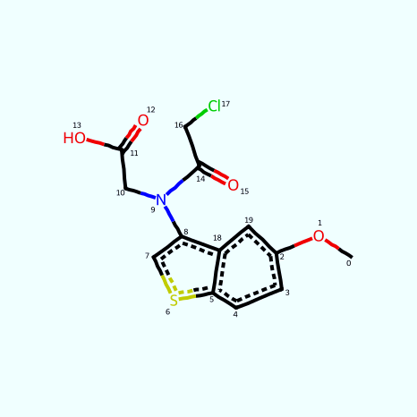 COc1ccc2scc(N(CC(=O)O)C(=O)CCl)c2c1